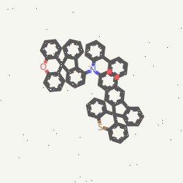 c1ccc(-c2ccccc2N(c2ccc3cc4c(cc3c2)C2(c3ccccc3Sc3ccccc32)c2ccccc2-4)c2cccc3c2-c2ccccc2C32c3ccccc3Oc3ccccc32)cc1